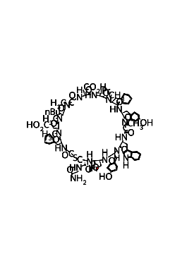 CCCC[C@H]1C(=O)N(C)CC(=O)N[C@@H](CC(=O)O)C(=O)N[C@@H](C(C)C)C(=O)N(C)[C@@H](Cc2ccccc2)C(=O)N[C@@H](Cc2ccc(O)cc2)C(=O)N(C)CC(=O)N[C@@H](Cc2c[nH]c3ccccc23)C(=O)N[C@@H](Cc2ccc(O)cc2)C(=O)N[C@@H](CC(C)C)C(=O)N[C@H](C(=O)NCC(N)=O)CSCC(=O)N[C@@H](Cc2ccccc2)C(=O)N(C)[C@@H](CCC(=O)O)C(=O)N1C